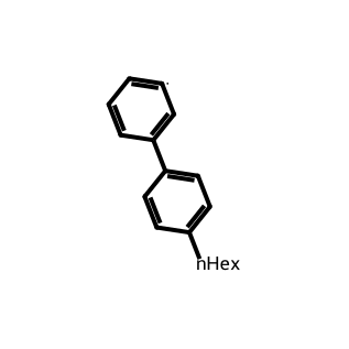 CCCCCCc1ccc(-c2c[c]ccc2)cc1